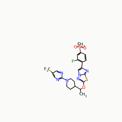 CC(Oc1nn2cc(-c3ccc(S(C)(=O)=O)cc3F)nc2s1)C1CCN(c2ncc(C(F)(F)F)cn2)CC1